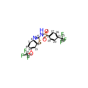 O=S(=O)(Nc1nc2ccc(OC(F)(F)F)cc2s1)c1ccc(C(F)(F)F)cc1